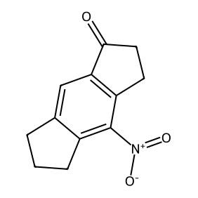 O=C1CCc2c1cc1c(c2[N+](=O)[O-])CCC1